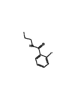 [CH2]c1ccccc1C(=O)NCCC